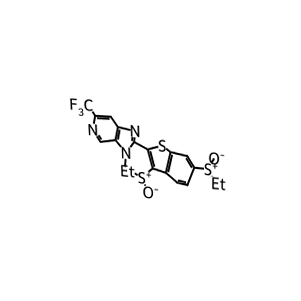 CC[S+]([O-])c1ccc2c([S+]([O-])CC)c(-c3nc4cc(C(F)(F)F)ncc4n3C)sc2c1